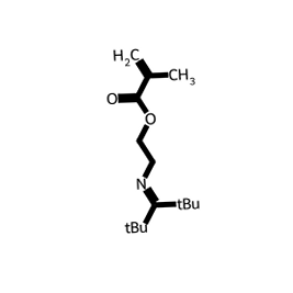 C=C(C)C(=O)OCCN=C(C(C)(C)C)C(C)(C)C